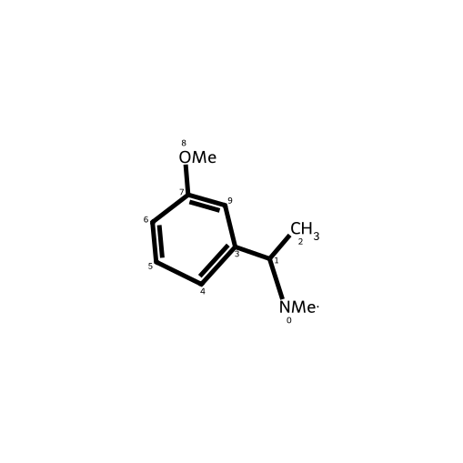 C[N]C(C)c1cccc(OC)c1